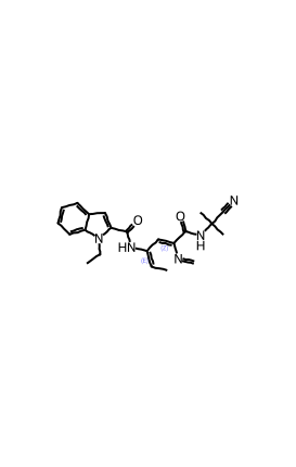 C=N/C(=C\C(=C/C)NC(=O)c1cc2ccccc2n1CC)C(=O)NC(C)(C)C#N